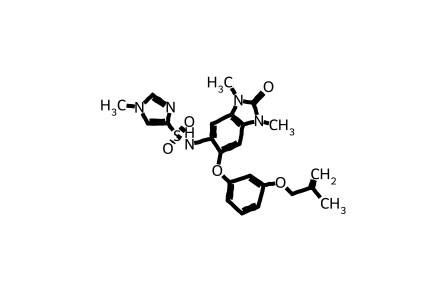 C=C(C)COc1cccc(Oc2cc3c(cc2NS(=O)(=O)c2cn(C)cn2)n(C)c(=O)n3C)c1